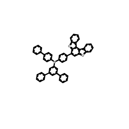 c1ccc(-c2ccc(N(c3ccc(-c4cc5oc6ccccc6c5c5c4oc4ccccc45)cc3)c3cc(-c4ccccc4)cc(-c4ccccc4)c3)cc2)cc1